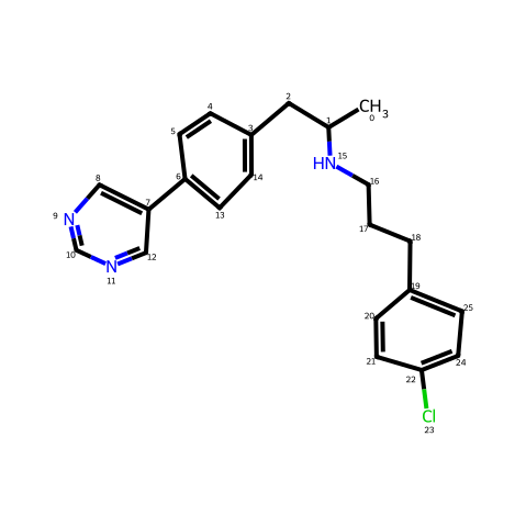 CC(Cc1ccc(-c2cncnc2)cc1)NCCCc1ccc(Cl)cc1